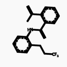 C=C(C)c1ccccc1C(=C)Nc1ccccc1CCC(F)(F)F